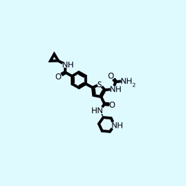 NC(=O)Nc1sc(-c2ccc(C(=O)NC3CC3)cc2)cc1C(=O)N[C@H]1CCCNC1